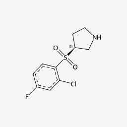 O=S(=O)(c1ccc(F)cc1Cl)[C@H]1CCNC1